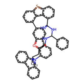 C=CCCCNC(NC(=N)c1cccc2sc3cccc(-c4ccc5c(c4)oc4c(-n6c7ccccc7c7ccccc76)cccc45)c3c12)c1ccccc1